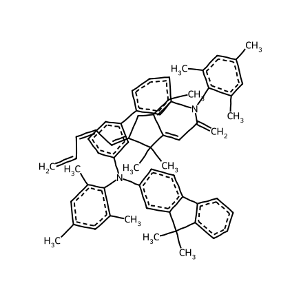 C=C/C=C\C=C1/CC(=C/C)/C(=C\C(=C)N(c2cccc(-c3cccc(N(c4ccc5c(c4)C(C)(C)c4ccccc4-5)c4c(C)cc(C)cc4C)c3)c2)c2c(C)cc(C)cc2C)C1(C)C